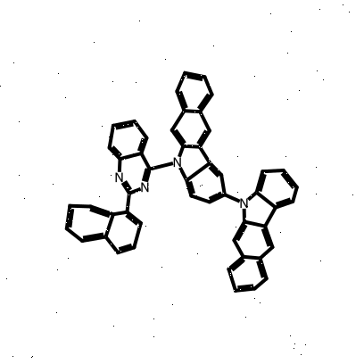 c1ccc2cc3c(cc2c1)c1ccccc1n3-c1ccc2c(c1)c1cc3ccccc3cc1n2-c1nc(-c2cccc3ccccc23)nc2ccccc12